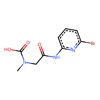 CN(CC(=O)Nc1cccc(Br)n1)C(=O)O